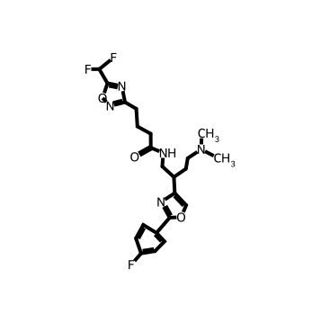 CN(C)CCC(CNC(=O)CCCc1noc(C(F)F)n1)c1coc(-c2ccc(F)cc2)n1